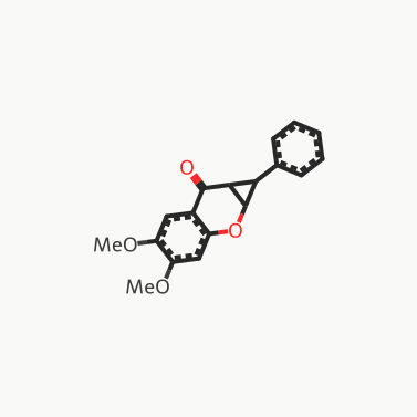 COc1cc2c(cc1OC)C(=O)C1C(O2)C1c1ccccc1